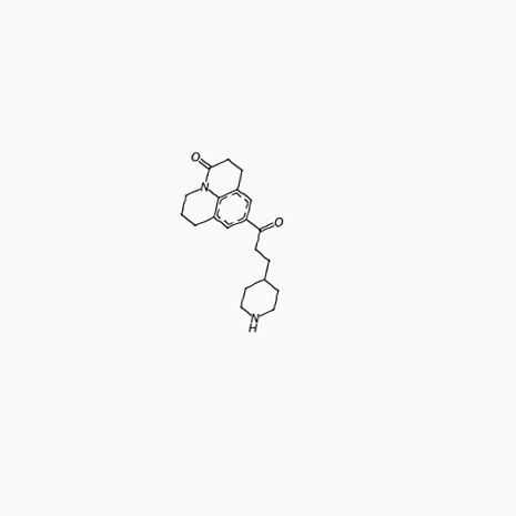 O=C(CCC1CCNCC1)c1cc2c3c(c1)CCC(=O)N3CCC2